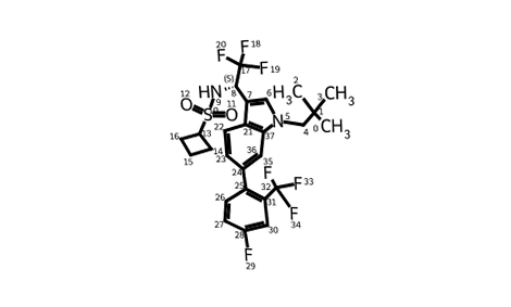 CC(C)(C)Cn1cc([C@H](NS(=O)(=O)C2CCC2)C(F)(F)F)c2ccc(-c3ccc(F)cc3C(F)(F)F)cc21